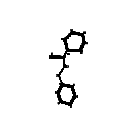 N=C(OCc1ccccc1)c1[c]cccc1